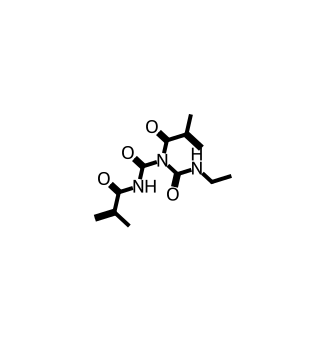 C=C(C)C(=O)NC(=O)N(C(=O)NCC)C(=O)C(=C)C